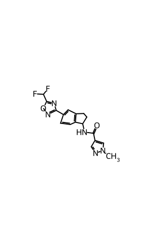 Cn1cc(C(=O)NC2CCc3cc(-c4noc(C(F)F)n4)ccc32)cn1